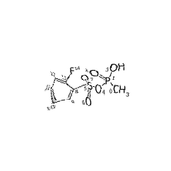 CP(=O)(O)OS(=O)(=O)c1ccccc1F